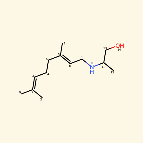 CC(C)=CCCC(C)=CCNC(C)CO